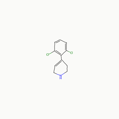 Clc1cccc(Cl)c1C1=CCNCC1